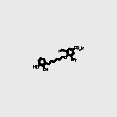 CCCc1cc(C(=O)O)cc(CCC)c1OCCCCCCc1cccc(O)c1O